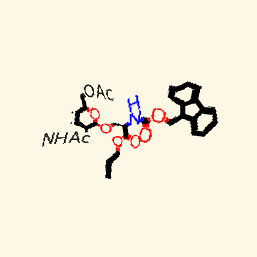 C=CCOC(=O)[C@@H](CO[C@@H]1OC(COC(C)=O)[CH][CH][C@@H]1NC(C)=O)NC(=O)OCC1c2ccccc2-c2ccccc21